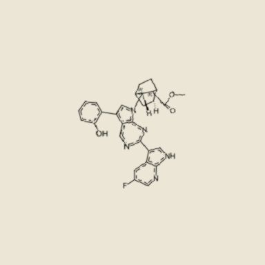 COC(=O)[C@@H]1C2CCC(CC2)[C@H]1n1cc(-c2ccccc2O)c2cnc(-c3c[nH]c4ncc(F)cc34)nc21